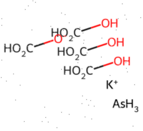 O=C(O)O.O=C(O)O.O=C(O)O.O=C([O-])O.[AsH3].[K+]